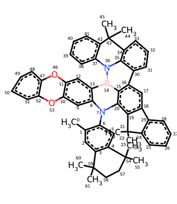 Cc1cc2c(cc1N1c3cc4c(cc3B3c5c(cc6c(c51)C(C)(C)c1ccccc1-6)-c1cccc5c1N3c1ccccc1C5(C)C)Oc1ccccc1O4)C(C)(C)CCC2(C)C